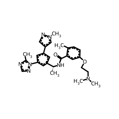 Cc1ccc(OCCN(C)C)cc1C(=O)N[C@H](C)c1cc(-c2cnn(C)c2)cc(-n2ncnc2C)c1